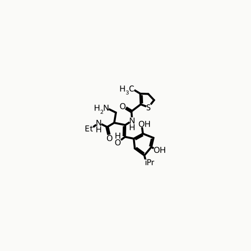 CCNC(=O)C(CN)/C(NC(=O)C1=C(C)CCS1)=C(\O)c1cc(C(C)C)c(O)cc1O